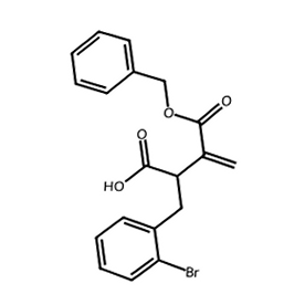 C=C(C(=O)OCc1ccccc1)C(Cc1ccccc1Br)C(=O)O